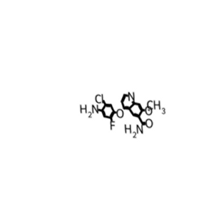 COc1cc2nccc(Oc3cc(Cl)c(N)cc3F)c2cc1C(N)=O